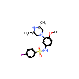 CCOc1ccc(NS(=O)(=O)c2ccc(I)cc2)cc1N1C[C@@H](C)N[C@@H](C)C1